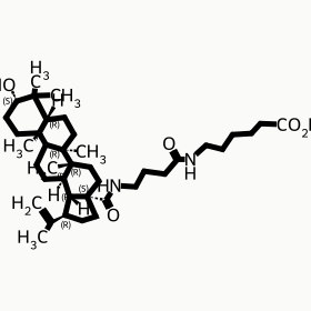 C=C(C)[C@@H]1CC[C@]2(C(=O)NCCCC(=O)NCCCCCC(=O)O)CC[C@]3(C)[C@H](CCC4[C@@]5(C)CC[C@H](O)C(C)(C)[C@@H]5CC[C@]43C)[C@@H]12